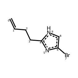 C=CCCc1nc(Br)c[nH]1